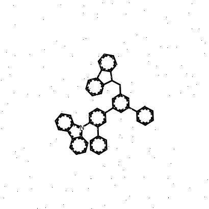 c1ccc(-c2cc(CC3c4ccccc4-c4ccccc43)cc(-c3ccc(-n4c5ccccc5c5ccccc54)c(-c4ccccc4)c3)c2)cc1